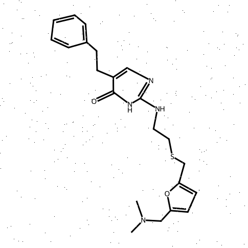 CN(C)Cc1ccc(CSCCNc2ncc(CCc3ccccc3)c(=O)[nH]2)o1